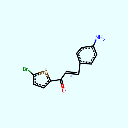 Nc1ccc(/C=C/C(=O)c2ccc(Br)s2)cc1